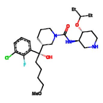 CCC(CC)O[C@@H]1CCNC[C@H]1NC(=O)N1CCC[C@@H]([C@@](O)(CCCCOC)c2cccc(Cl)c2F)C1